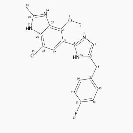 COc1c(-c2ncc(Cc3ccc(F)cc3)[nH]2)cc(Cl)c2[nH]c(C)nc12